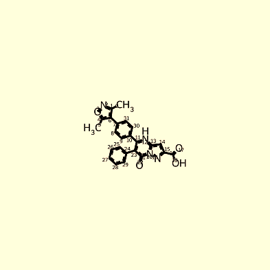 Cc1noc(C)c1-c1ccc(-c2[nH]c3cc(C(=O)O)nn3c(=O)c2-c2ccccc2)cc1